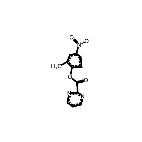 Cc1cc([N+](=O)[O-])ccc1OC(=O)c1ncccn1